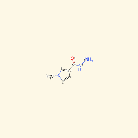 Cn1ccc(C(=O)NN)c1